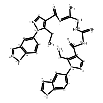 CCc1c(C(=O)N=C(N)NNC(=N)NC(=O)c2cnn(-c3ccc4[nH]cnc4c3)c2CC)cnn1-c1ccc2[nH]ncc2c1